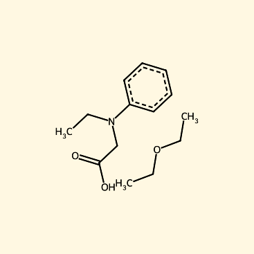 CCN(CC(=O)O)c1ccccc1.CCOCC